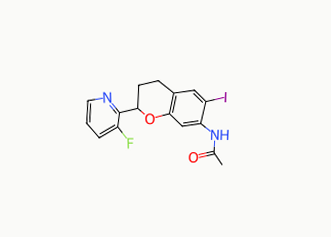 CC(=O)Nc1cc2c(cc1I)CCC(c1ncccc1F)O2